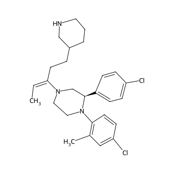 CC=C(CCC1CCCNC1)N1CCN(c2ccc(Cl)cc2C)[C@H](c2ccc(Cl)cc2)C1